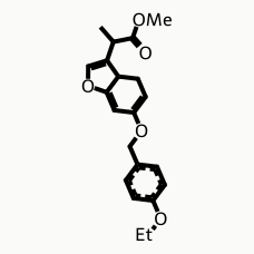 CCOc1ccc(COC2=CCC3C(=C2)OC=C3C(C)C(=O)OC)cc1